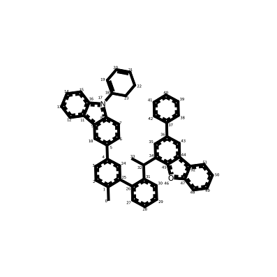 Cc1ccc(-c2ccc3c(c2)c2ccccc2n3C2=CC=CCC2)cc1-c1ccccc1C(C)c1cc(-c2ccccc2)cc2c1oc1ccccc12